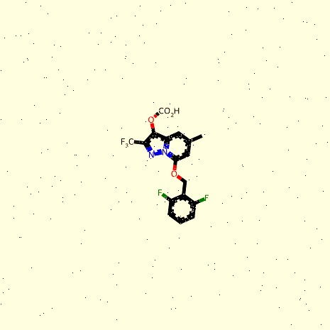 Cc1cc(OCc2c(F)cccc2F)n2nc(C(F)(F)F)c(OC(=O)O)c2c1